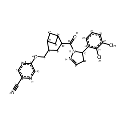 N#Cc1cnc(OCC2CC(C(=O)N3N=CCC3c3cccc(Cl)c3Cl)C3CC2C3)cn1